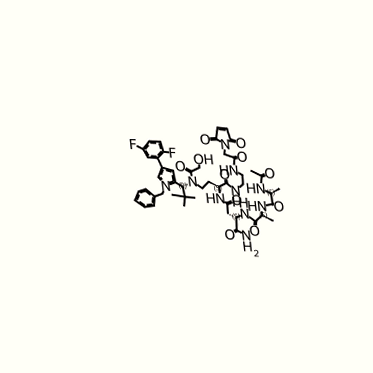 CC(=O)N[C@@H](C)C(=O)N[C@@H](C)C(=O)N[C@@H](CC(=O)N[C@@H](CCN(C(=O)CO)[C@@H](c1cc(-c2cc(F)ccc2F)cn1Cc1ccccc1)C(C)(C)C)C(=O)NCCNC(=O)CN1C(=O)C=CC1=O)C(N)=O